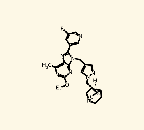 CCOc1nc(C)c2nc(-c3cncc(F)c3)n(Cc3cnn(C[C@@H]4CN5CCC4CC5)c3)c2n1